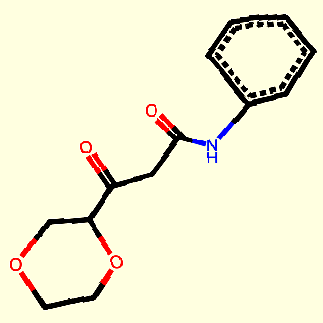 O=C(CC(=O)C1COCCO1)Nc1ccccc1